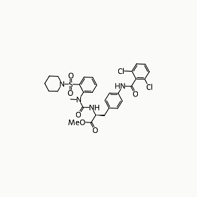 COC(=O)[C@H](Cc1ccc(NC(=O)c2c(Cl)cccc2Cl)cc1)NC(=O)N(C)c1ccccc1S(=O)(=O)N1CCCCC1